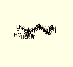 Cc1c(-c2ccc(N3CCc4cccc(C(=O)Nc5nc6ccccc6s5)c4C3)nc2C(=O)O)cnn1CC12CC3(C)CC(C)(C1)CC(OCCNC(=O)OCc1ccc(OCCOCCN)cc1O[C@@H]1O[C@H](C(=O)O)[C@@H](O)[C@H](O)[C@H]1O)(C3)C2